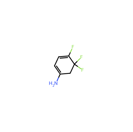 NC1=CC=C(F)C(F)(F)C1